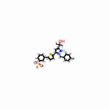 CC(C)(O)c1cc(-c2ccc(-c3cccc(S(C)(=O)=O)c3)s2)n(Cc2ccc(F)cc2F)n1